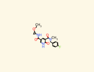 CCOC1CC1NC(=O)c1c[nH]c(=O)c(C(=O)N(C)Cc2ccc(F)cc2)c1